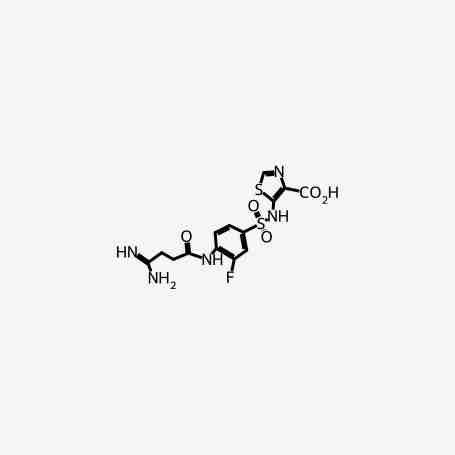 N=C(N)CCC(=O)Nc1ccc(S(=O)(=O)Nc2scnc2C(=O)O)cc1F